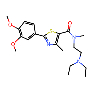 CCN(CC)CCN(C)C(=O)c1sc(-c2ccc(OC)c(OC)c2)nc1C